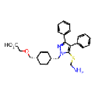 NCSc1c(-c2ccccc2)c(-c2ccccc2)nn1C[C@H]1CC[C@@H](COCC(=O)O)CC1